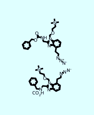 C[Si](C)(C)CCOCn1c(CN(Cc2ccccc2)C(=O)O)nc2cccc(CCN=[N+]=[N-])c21.C[Si](C)(C)CCOCn1c(CNC(=O)OCc2ccccc2)nc2c(CCN=[N+]=[N-])cccc21